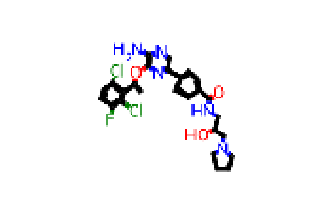 CC(Oc1nc(-c2ccc(C(=O)NCC(O)CN3CCCC3)cc2)cnc1N)c1c(Cl)ccc(F)c1Cl